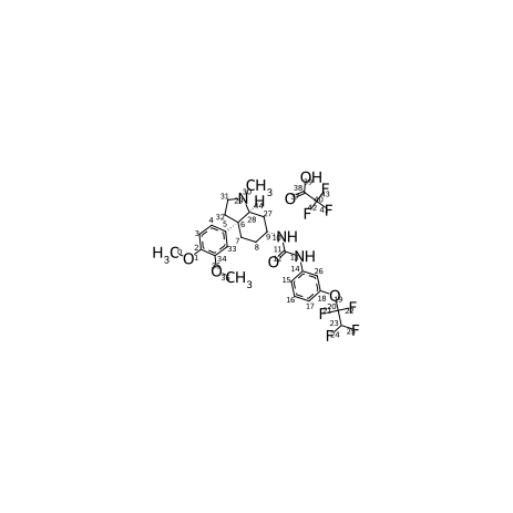 COc1ccc([C@@]23CC[C@@H](NC(=O)Nc4cccc(OC(F)(F)C(F)F)c4)C[C@@H]2N(C)CC3)cc1OC.O=C(O)C(F)(F)F